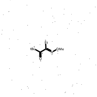 CC/C(=N\OC)C(=O)C(C)(C)C